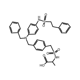 CC(NS(=O)(=O)Cc1ccc(CN(Cc2ccccc2)c2ccc(NS(=O)(=O)CCc3ccccc3)cc2)cc1)C(=O)O